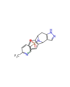 O=S(=O)(c1ccc(C(F)(F)F)nc1)N1C2Cc3[nH]ncc3C1c1cc(F)ccc12